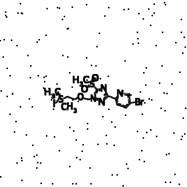 CS(C)(I)CCOCn1nc(-c2ccc(Br)cn2)nc1S(C)(=O)=O